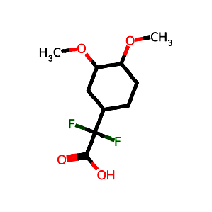 COC1CCC(C(F)(F)C(=O)O)CC1OC